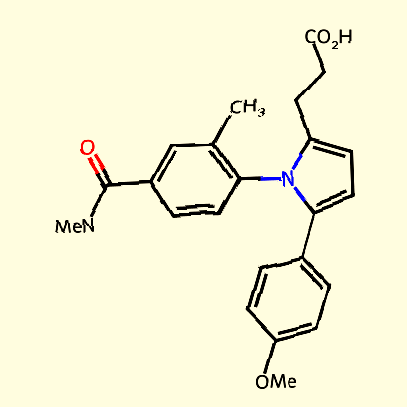 CNC(=O)c1ccc(-n2c(CCC(=O)O)ccc2-c2ccc(OC)cc2)c(C)c1